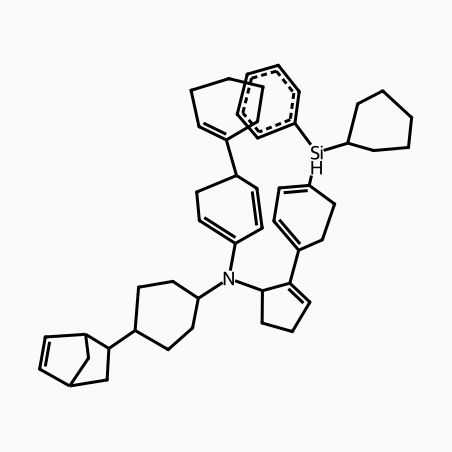 C1=CC(C2=CCCCC2)CC=C1N(C1CCC(C2CC3C=CC2C3)CC1)C1CCC=C1C1=CC=C([SiH](c2ccccc2)C2CCCCC2)CC1